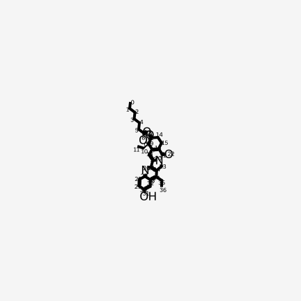 CCCCCCC(=O)O[C@]1(CC)C(=O)CCc2c1cc1n(c2=O)Cc2c-1nc1ccc(O)cc1c2CC